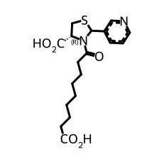 O=C(O)CCCCCCCC(=O)N1C(c2cccnc2)SC[C@H]1C(=O)O